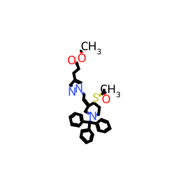 CCOC(=O)CCc1cnn(C/C=C2/CN(C(c3ccccc3)(c3ccccc3)c3ccccc3)CCC2SC(C)=O)c1